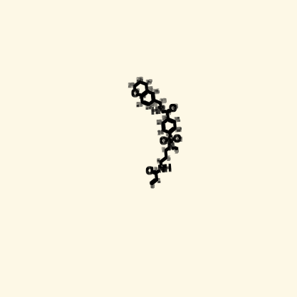 C=CC(=O)NCCCN(C)S(=O)(=O)c1ccc(C(=O)NCc2ccc3c(c2)CCCO3)cc1